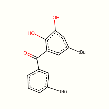 CC(C)(C)c1cccc(C(=O)c2cc(C(C)(C)C)cc(O)c2O)c1